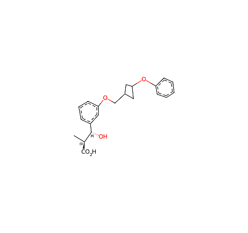 C[C@H](C(=O)O)[C@@H](O)c1cccc(OCC2CC(Oc3ccccc3)C2)c1